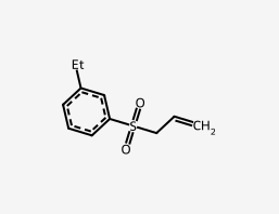 C=CCS(=O)(=O)c1cccc(CC)c1